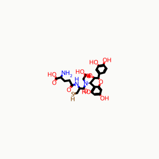 NC(CCC(=O)NC(CS)C(=O)N(CC(=O)O)[C@H]1c2c(O)cc(O)cc2OC(c2ccc(O)c(O)c2)C1O)C(=O)O